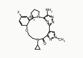 Cn1cc2c(n1)C(=O)N(C1CC1)CCOC1C=CC(F)=CC1(C)[C@H]1CCCN1c1nc-2nnc1N